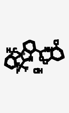 C[N+]1(c2ccccn2)C(C(F)(F)F)=Nc2c(C(=O)Nc3c(Cl)cccc3Cl)cccc21.Cl